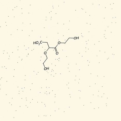 O=C(O)CC(OCCO)C(=O)OCCO